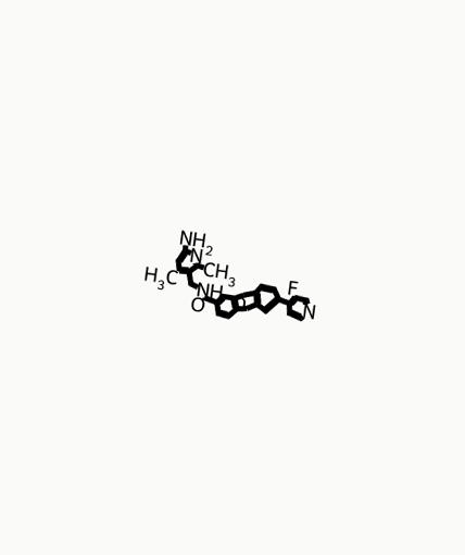 Cc1cc(N)nc(C)c1CNC(=O)c1ccc2c(c1)C1OC2c2cc(-c3ccncc3F)ccc21